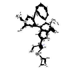 Cn1cc(-c2ccccc2)c(-c2cn(C)c(=O)c3[nH]c(/C(C=N)=C/NC4COC4)cc23)cc1=O